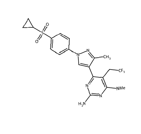 CNc1nc(N)nc(-c2cn(-c3ccc(S(=O)(=O)C4CC4)cc3)nc2C)c1CC(F)(F)F